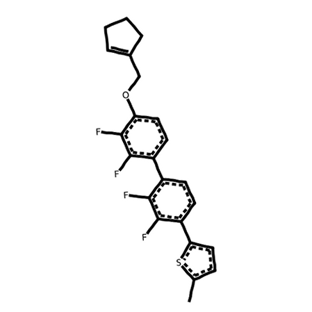 Cc1ccc(-c2ccc(-c3ccc(OCC4=CCCC4)c(F)c3F)c(F)c2F)s1